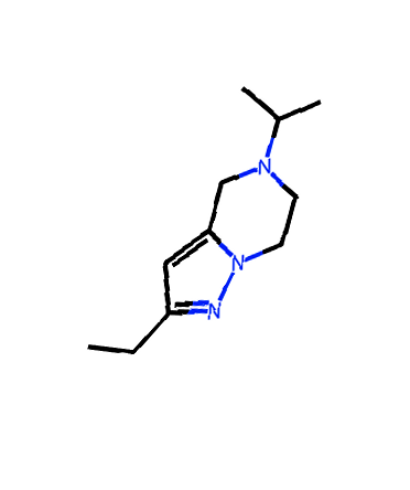 CCc1cc2n(n1)CCN(C(C)C)C2